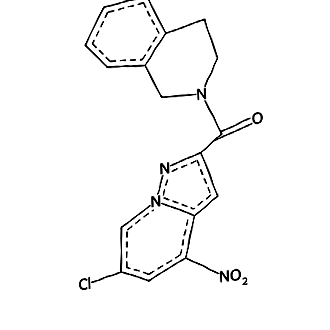 O=C(c1cc2c([N+](=O)[O-])cc(Cl)cn2n1)N1CCc2ccccc2C1